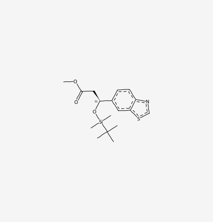 COC(=O)C[C@H](O[Si](C)(C)C(C)(C)C)c1ccc2ncsc2c1